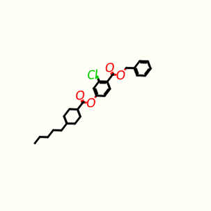 CCCCCC1CCC(C(=O)Oc2ccc(C(=O)OCc3ccccc3)c(Cl)c2)CC1